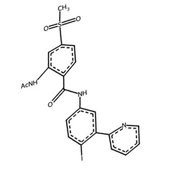 CC(=O)Nc1cc(S(C)(=O)=O)ccc1C(=O)Nc1ccc(I)c(-c2ccccn2)c1